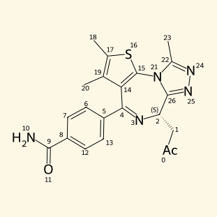 CC(=O)C[C@@H]1N=C(c2ccc(C(N)=O)cc2)c2c(sc(C)c2C)-n2c(C)nnc21